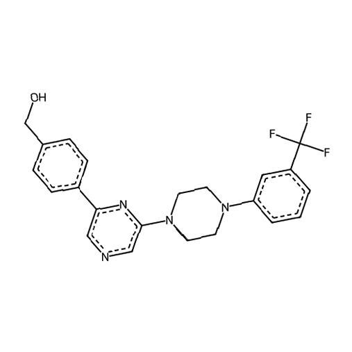 OCc1ccc(-c2cncc(N3CCN(c4cccc(C(F)(F)F)c4)CC3)n2)cc1